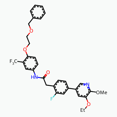 CCOc1cc(-c2ccc(CC(=O)Nc3ccc(OCCOCc4ccccc4)c(C(F)(F)F)c3)c(F)c2)cnc1OC